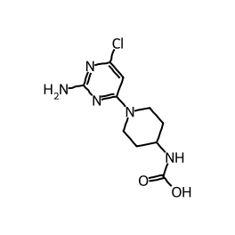 Nc1nc(Cl)cc(N2CCC(NC(=O)O)CC2)n1